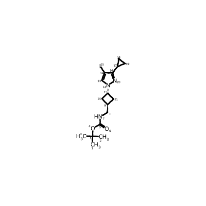 CC(C)(C)OC(=O)NC[C@H]1C[C@H](n2cc(I)c(C3CC3)n2)C1